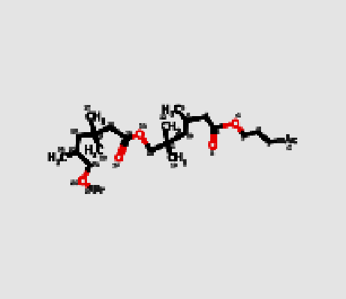 CC(=O)CCCOC(=O)CC(C)CC(C)(C)COC(=O)CC(C)(C)CC(C)COC(C)C